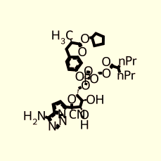 CCCC(CCC)C(=O)OCOP(=O)(OC[C@H]1O[C@@](C#N)(c2ccc3c(N)ncnn23)[C@H](O)[C@@H]1O)Oc1ccc(C[C@H](C)C(=O)OC2CCCC2)cc1